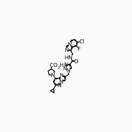 O=C(NCc1ncn2ccc(Cl)c(F)c12)c1cn(Cc2cn3nc(C4CC4)cc(N4CCC(C(=O)O)C4)c3n2)nn1